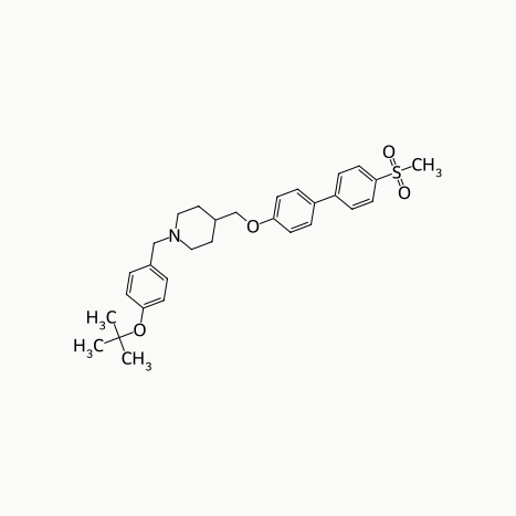 CC(C)(C)Oc1ccc(CN2CCC(COc3ccc(-c4ccc(S(C)(=O)=O)cc4)cc3)CC2)cc1